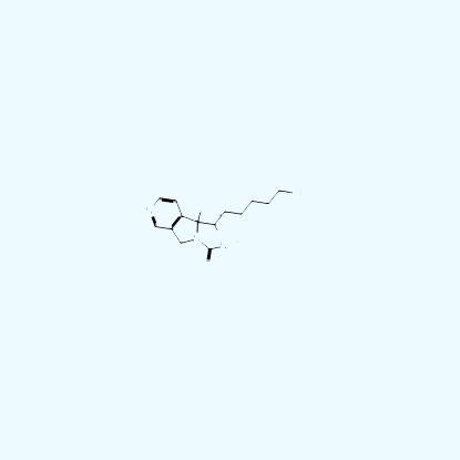 CCCCCCC(C)C1(C)c2ccncc2CN1C(N)=O